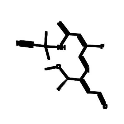 C=C(\C=C(F)/C=N/C(=C\C=O)[C@H](C)OC)NC(C)(C)C#N